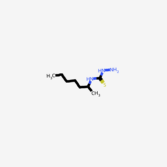 CCCCCC(C)NC(=S)NN